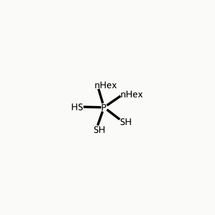 CCCCCCP(S)(S)(S)CCCCCC